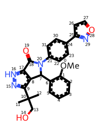 COc1ccccc1C1c2c(C(C)(C)CO)n[nH]c2C(=O)N1c1ccc(-c2ccon2)cc1